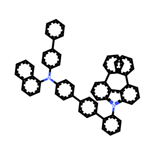 c1ccc(-c2ccc(N(c3ccc(-c4ccc(-c5ccccc5-n5c6cccc(-c7ccccc7)c6c6c(-c7ccccc7)cccc65)cc4)cc3)c3cccc4ccccc34)cc2)cc1